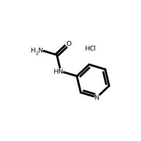 Cl.NC(=O)Nc1cccnc1